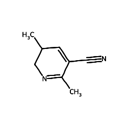 CC1=NCC(C)C=C1C#N